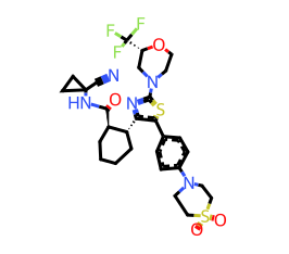 N#CC1(NC(=O)[C@@H]2CCCC[C@H]2c2nc(N3CCO[C@@H](C(F)(F)F)C3)sc2-c2ccc(N3CCS(=O)(=O)CC3)cc2)CC1